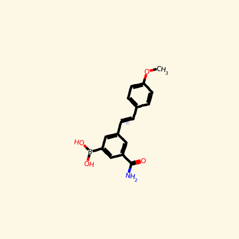 COc1ccc(/C=C/c2cc(B(O)O)cc(C(N)=O)c2)cc1